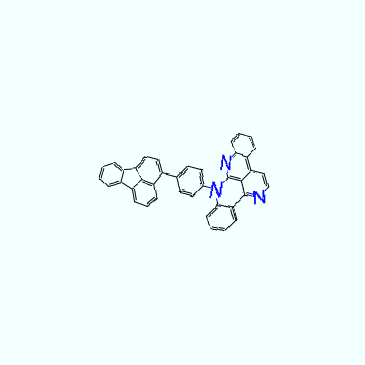 c1ccc2c(c1)-c1cccc3c(-c4ccc(N5c6ccccc6-c6nccc7c6c5nc5ccccc57)cc4)ccc-2c13